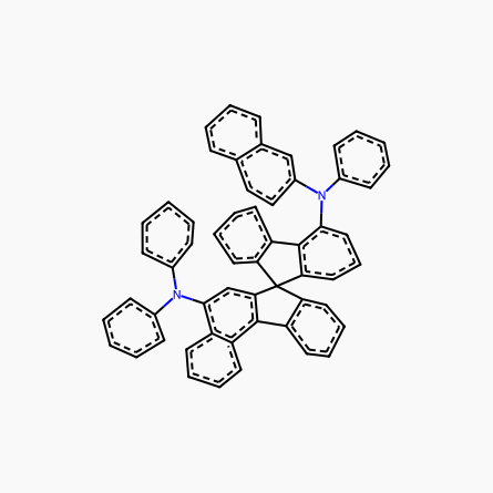 c1ccc(N(c2ccc3ccccc3c2)c2cccc3c2-c2ccccc2C32c3ccccc3-c3c2cc(N(c2ccccc2)c2ccccc2)c2ccccc32)cc1